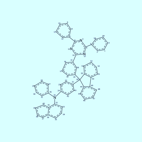 c1ccc(-c2nc(-c3ccccc3)nc(-c3cccc(C4(c5ccc(N(c6ccccc6)c6cccc7ccccc67)cc5)c5ccccc5-c5ccccc54)c3)n2)cc1